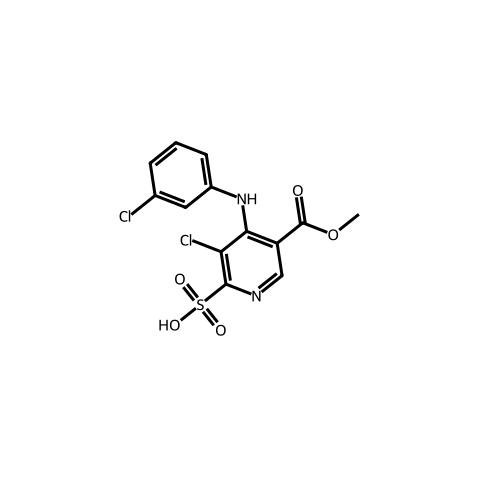 COC(=O)c1cnc(S(=O)(=O)O)c(Cl)c1Nc1cccc(Cl)c1